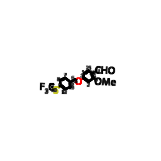 COc1cc(OCc2ccc(SC(F)(F)F)cc2)ccc1C=O